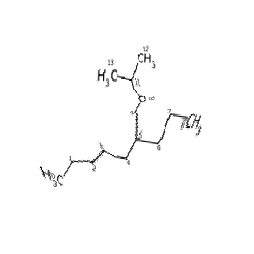 CCCCCC(CCC)COC(C)C